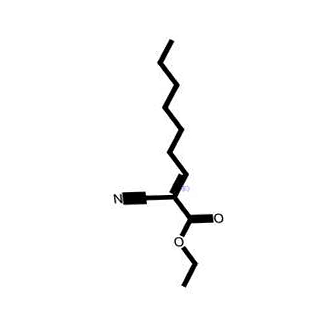 CCCCCC/C=C(\C#N)C(=O)OCC